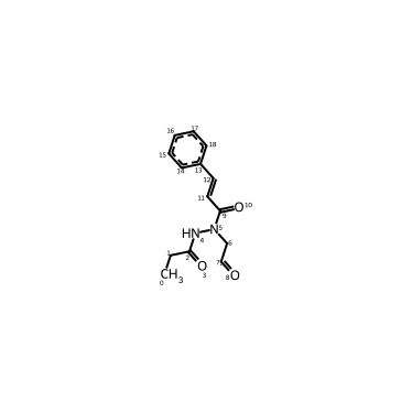 CCC(=O)NN(C[C]=O)C(=O)/C=C/c1ccccc1